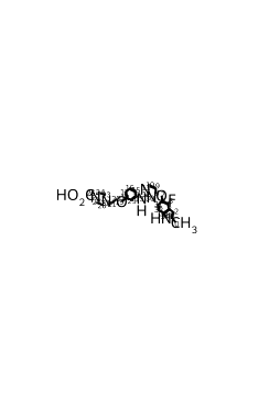 Cc1cc2c(F)c(Oc3ccnc(Nc4cccc(OCCN5CCN(C(=O)O)CC5)c4)n3)ccc2[nH]1